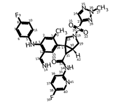 Cc1cc(Nc2ccc(F)cc2)c(C=N)cc1[C@@]12CN(S(=O)(=O)c3cnn(C)n3)C[C@@H]1[C@H]2C(=O)Nc1ccc(F)cn1